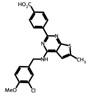 COc1ccc(CNc2nc(-c3ccc(C(=O)O)cc3)nc3sc(C)cc23)cc1Cl